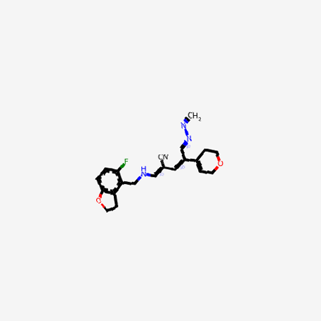 C=N/N=C/C(=C\C(C#N)=C\NCc1c(F)ccc2c1CCO2)C1=CCOCC1